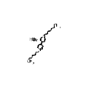 Br.Br.CCCCCCCN1C=CC(=C2C=CN(CCCCCCC)C=C2)C=C1